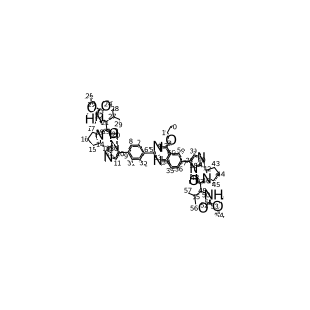 CCOc1nc(-c2ccc(-c3cnc([C@@H]4CCCN4C(=O)[C@@H](NC(=O)OC)C(C)C)[nH]3)cc2)nc2ccc(-c3cnc([C@@H]4CCCN4C(=O)[C@@H](NC(=O)OC)C(C)C)[nH]3)cc12